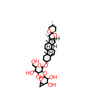 C[C@@H]1CC[C@@]2(OC1)O[C@H]1C[C@H]3[C@@H]4CC=C5C[C@@H](O[C@@H]6OC(CO)[C@@H](O)C(O)[C@@H]6OC6OC7CC7C(O)C6O)CC[C@]5(C)[C@H]4CC[C@]3(C)[C@H]1[C@@H]2C